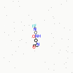 O=C(N[C@H]1CC[C@H](N2CC(F)(F)C2)CC1)c1ccc(-c2nccc3occc23)cc1